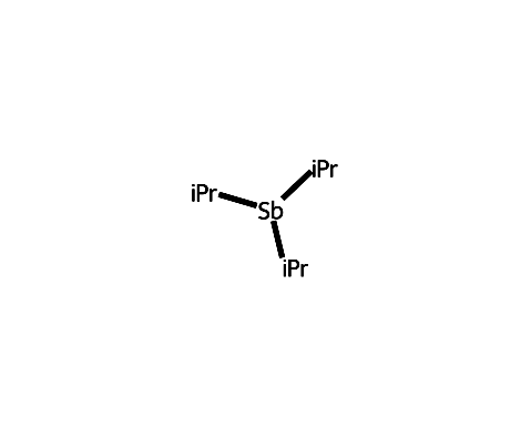 C[CH](C)[Sb]([CH](C)C)[CH](C)C